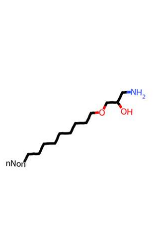 CCCCCCCCCCCCCCCCCCOCC(O)CN